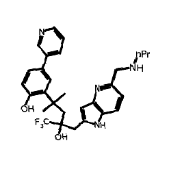 CCCNCc1ccc2[nH]c(CC(O)(CC(C)(C)c3cc(-c4cccnc4)ccc3O)C(F)(F)F)cc2n1